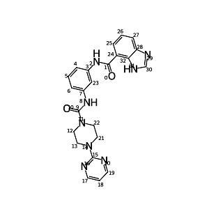 O=C(Nc1cccc(NC(=O)N2CCN(c3ncccn3)CC2)c1)c1cccc2nc[nH]c12